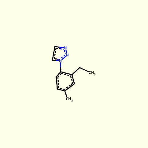 CCc1cc(C)ccc1-n1ccnn1